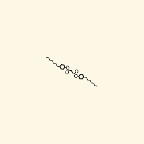 CCCCCCCc1ccc(OC(=O)C=CC(=O)Oc2ccc(CCCCCCC)cc2)cc1